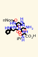 CCCCCCCCCC(=O)NC(Cc1cnc[nH]1)C(=O)NC(Cc1c[nH]c2ccccc12)C(=O)NC(CC(N)=O)C(=O)NC(CC(=O)O)C(=O)NC(C)C